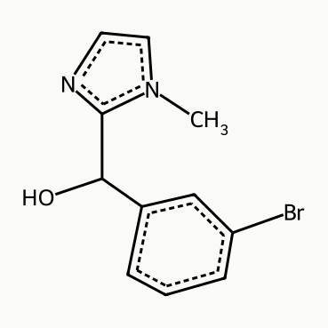 Cn1ccnc1C(O)c1cccc(Br)c1